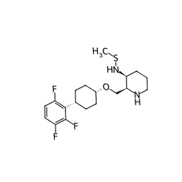 CSN[C@H]1CCCN[C@H]1CO[C@H]1CC[C@@H](c2c(F)ccc(F)c2F)CC1